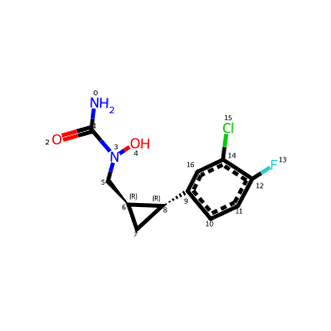 NC(=O)N(O)C[C@@H]1C[C@H]1c1ccc(F)c(Cl)c1